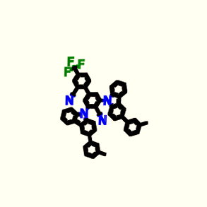 Cc1cccc(-c2ccc3c(c2)c2ccccc2n3-c2cc(-c3ccc(C(F)(F)F)cc3C#N)cc(-n3c4ccccc4c4cc(-c5cccc(C)c5)ccc43)c2C#N)c1